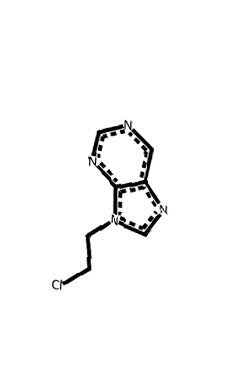 ClCCn1cnc2cncnc21